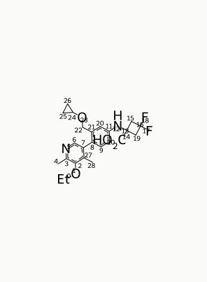 CCOc1c(C)ncc(-c2ccc(NC3(C(=O)O)CC(F)(F)C3)cc2COC2CC2)c1C